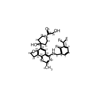 Cc1nc(NCc2cccc(C(F)F)c2F)c2cc(C3(O)CCN(C(=O)CO)CC3)c3c(c2n1)CCO3